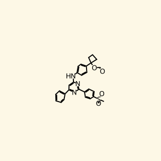 CS(=O)(=O)c1ccc(-c2nc(Nc3ccc(C4(OC=O)CCC4)cc3)cc(-c3ccccc3)n2)cc1